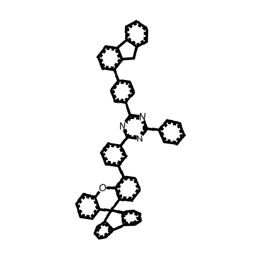 c1ccc(-c2nc(-c3ccc(-c4cccc5c4Cc4ccccc4-5)cc3)nc(-c3cccc(-c4cccc5c4Oc4ccccc4C54c5ccccc5-c5ccccc54)c3)n2)cc1